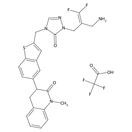 CN1C(=O)C(c2ccc3sc(Cn4cnn(CC(CN)=C(F)F)c4=O)cc3c2)Cc2ccccc21.O=C(O)C(F)(F)F